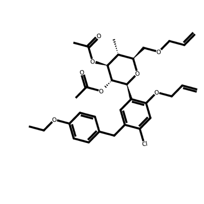 C=CCOC[C@H]1O[C@@H](c2cc(Cc3ccc(OCC)cc3)c(Cl)cc2OCC=C)[C@H](OC(C)=O)[C@@H](OC(C)=O)[C@@H]1C